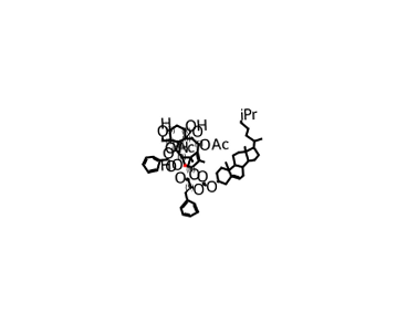 CC(=O)O[C@@H]1C(=O)[C@@]2(C)[C@H](O)C[C@@H]3OC[C@]3(OC(C)=O)[C@@H]2[C@@H](OC(=O)c2ccccc2)[C@@]2(O)C[C@@H](OC(=O)[C@H](Cc3ccccc3)OC(=O)OC3CCC4(C)C(=CCC5C4CCC4(C)C(C(C)CCCC(C)C)CCC54)C3)C(C)=C1C2(C)C